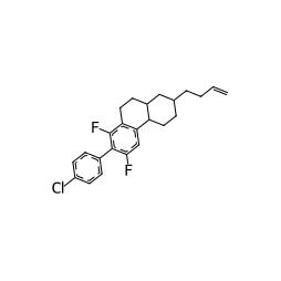 C=CCCC1CCC2c3cc(F)c(-c4ccc(Cl)cc4)c(F)c3CCC2C1